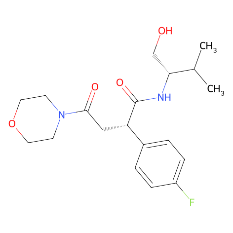 CC(C)[C@@H](CO)NC(=O)[C@@H](CC(=O)N1CCOCC1)c1ccc(F)cc1